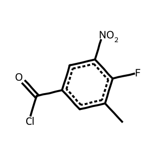 Cc1cc(C(=O)Cl)cc([N+](=O)[O-])c1F